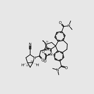 C[C@@H](CC1(c2nc(=O)on2C)c2ccc(C(=O)N(C)C)cc2CCc2cc(C(=O)N(C)C)ccc21)NCC(=O)N1C(C#N)C[C@@H]2C[C@@H]21